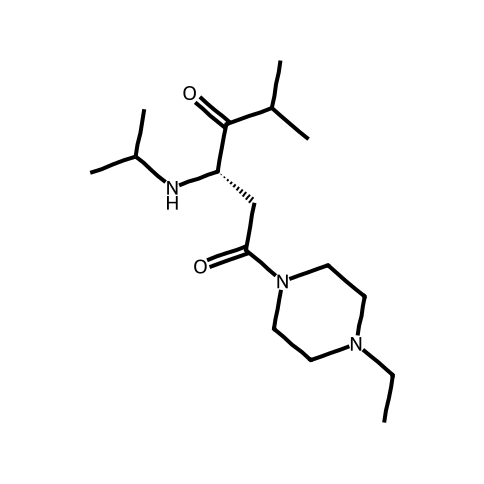 CCN1CCN(C(=O)C[C@H](NC(C)C)C(=O)C(C)C)CC1